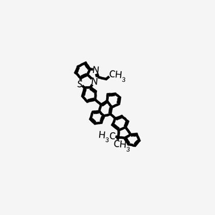 CCc1nc2cccc3c2n1-c1cc(-c2c4ccccc4c(-c4ccc5c(c4)C(C)(C)c4ccccc4-5)c4ccccc24)ccc1S3